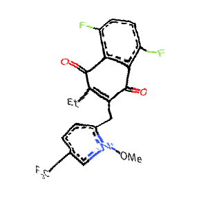 CCC1=C(Cc2ccc(C(F)(F)F)c[n+]2OC)C(=O)c2c(F)ccc(F)c2C1=O